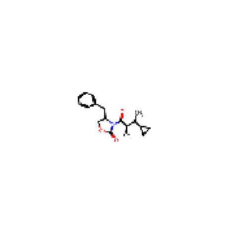 C=C(C(=O)N1C(=O)OCC1Cc1ccccc1)C(C)C1CC1